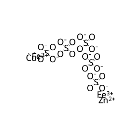 O=S(=O)([O-])[O-].O=S(=O)([O-])[O-].O=S(=O)([O-])[O-].O=S(=O)([O-])[O-].O=S(=O)([O-])[O-].[Cu+2].[Fe+3].[Fe+3].[Zn+2]